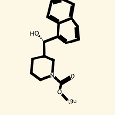 CC(C)(C)OC(=O)N1CCCC([C@H](O)c2cccc3ccccc23)C1